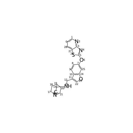 c1cnc2nc(Oc3ccc4c(CNC5CN6CCC5CC6)coc4c3)sc2c1